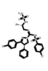 CC(C)[C@@H](C/N=C(/NS(=O)(=O)c1ccc(Cl)cc1)N1C[C@@H](c2ccccc2)C(c2ccc(Cl)cc2)=N1)NS(N)(=O)=O